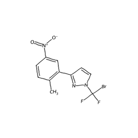 Cc1ccc([N+](=O)[O-])cc1-c1ccn(C(F)(F)Br)n1